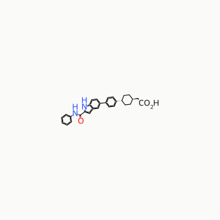 O=C(O)C[C@H]1CC[C@H](c2ccc(-c3ccc4[nH]c(C(=O)Nc5ccccc5)cc4c3)cc2)CC1